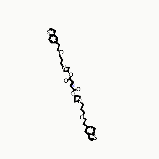 O=C(/C=C/C(=O)OC1CN(CCCOCCc2ccc3sccc3c2)C1)OC1CN(CCCOCCc2ccc3sccc3c2)C1